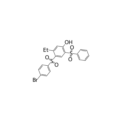 CCc1cc(O)c(S(=O)(=O)c2ccccc2)cc1S(=O)(=O)c1ccc(Br)cc1